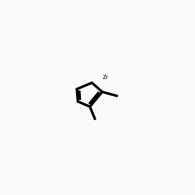 CC1=C(C)CC=C1.[Zr]